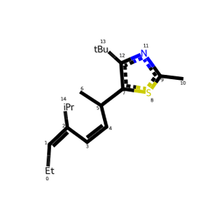 CC/C=C(\C=C/C(C)c1sc(C)nc1C(C)(C)C)C(C)C